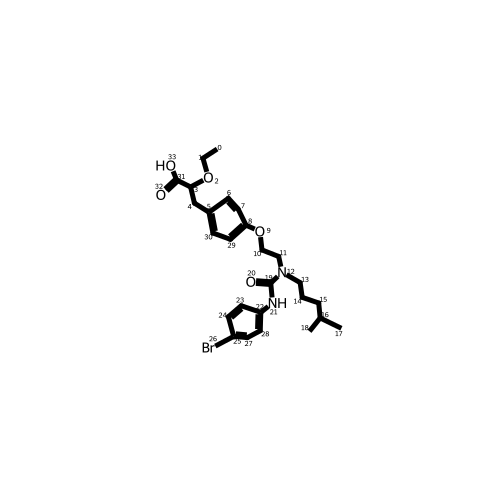 CCOC(Cc1ccc(OCCN(CCCC(C)C)C(=O)Nc2ccc(Br)cc2)cc1)C(=O)O